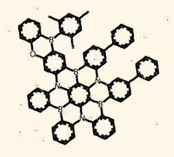 Cc1cc(C)c(B2c3ccccc3Oc3cc4c(cc32)B2c3ccc(-c5ccccc5)cc3N3c5cc(-c6ccccc6)ccc5B5c6ccccc6N6c7ccccc7B7c8ccccc8N4c4c7c6c5c3c42)c(C)c1